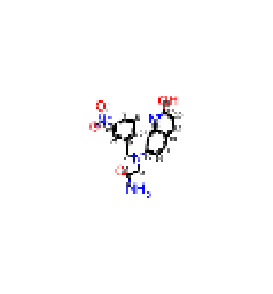 NC(=O)CN(Cc1cccc([N+](=O)[O-])c1)c1ccc2ccc(O)nc2c1